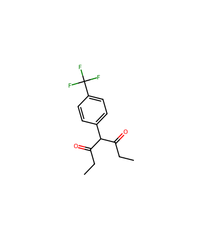 CCC(=O)C(C(=O)CC)c1ccc(C(F)(F)F)cc1